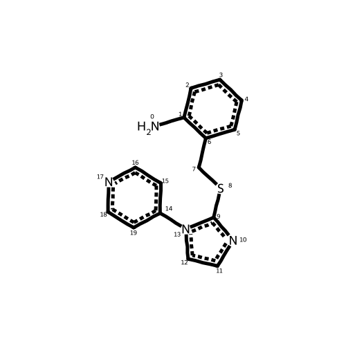 Nc1ccccc1CSc1nccn1-c1ccncc1